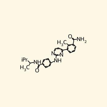 Cc1c(C(N)=O)cccc1-c1ccnc(Nc2ccc(C(=O)NC(C)C(C)C)cc2)n1